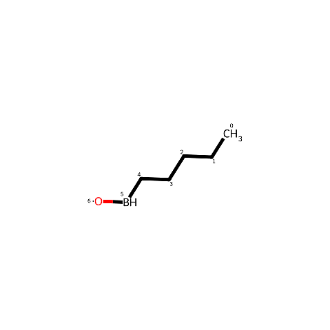 CCCCCB[O]